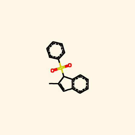 CC1=Cc2ccccc2C1S(=O)(=O)c1ccccc1